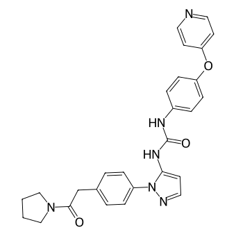 O=C(Nc1ccc(Oc2ccncc2)cc1)Nc1ccnn1-c1ccc(CC(=O)N2CCCC2)cc1